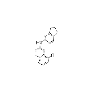 Clc1cccc2ccc(Nc3ccc4c(c3)CCC4)nc12